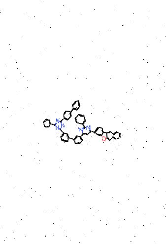 c1ccc(-c2ccc(-c3nc(-c4ccccc4)nc(-c4cccc(-c5cccc(-c6cc(-c7ccc8c(c7)oc7cc9ccccc9cc78)nc(-c7ccccc7)n6)c5)c4)n3)cc2)cc1